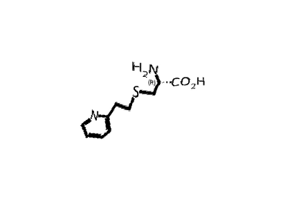 N[C@@H](CSCCc1ccccn1)C(=O)O